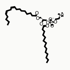 CCCC/C=C\C/C=C\CCCCCCCC(=O)OC[C@H](COP(=O)([O-])OCC[N+](C)(C)C)OC(=O)CCCCCCCCCCCCC